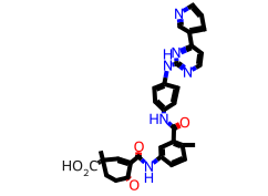 Cc1ccc(NC(=O)C2=CC(C)(C(=O)O)CCC2=O)cc1C(=O)Nc1ccc(Nc2nccc(-c3cccnc3)n2)cc1